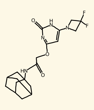 O=C(COc1cc(N2CC(F)(F)C2)[nH]c(=O)n1)NC12CC3CC(CC(C3)C1)C2